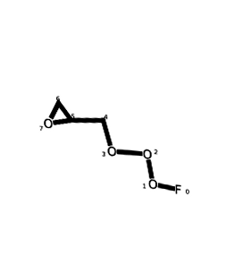 FOOOCC1CO1